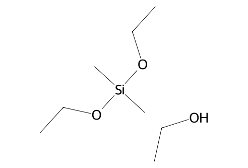 CCO.CCO[Si](C)(C)OCC